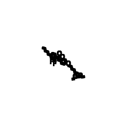 CCCCCc1ccc(-c2cc3ccc(OCCCCCC[Si](C)(OCC)OCC)cc3oc2=O)c(C(F)(F)F)c1